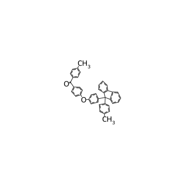 Cc1ccc(C(=O)c2ccc(Oc3ccc(C4(c5ccc(C)cc5)c5ccccc5-c5ccccc54)cc3)cc2)cc1